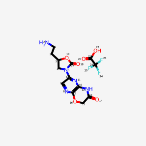 NCCC1CN(c2cnc3c(n2)NC(=O)CO3)C(=O)O1.O=C(O)C(F)(F)F